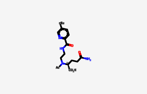 CCCCc1ccc(C(=O)NCCN(C(C)=O)[C@@H](CCC(N)=O)C(=O)O)nc1